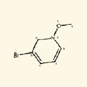 CON1C=CC=C(Br)C1